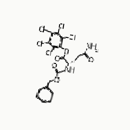 NC(=O)CC[C@H](NC(=O)OCc1ccccc1)C(=O)Oc1c(Cl)c(Cl)c(Cl)c(Cl)c1Cl